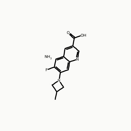 CC1CN(c2cc3ncc(C(=O)O)cc3cc2F)C1.N